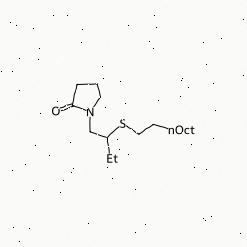 CCCCCCCCCCSC(CC)CN1CCCC1=O